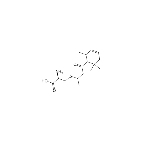 CC(CC(=O)C1C(C)C=CCC1(C)C)SC[C@H](N)C(=O)O